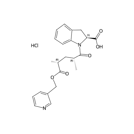 C[C@H](C[C@@H](C)C(=O)N1c2ccccc2C[C@H]1C(=O)O)C(=O)OCc1cccnc1.Cl